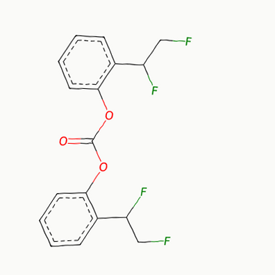 O=C(Oc1ccccc1C(F)CF)Oc1ccccc1C(F)CF